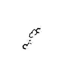 O=C1c2cnc(F)cc2CC[C@@H]2CC[C@H](c3noc(-c4ccc(F)cn4)n3)CN12